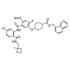 COc1cc(F)c(OC2CCC(C(=O)OCc3cccc4ccccc34)CC2)cc1C(=O)Nc1cc(Cl)ccc1C(=O)NCC1(C)CCC1